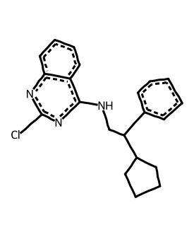 Clc1nc(NCC(c2ccccc2)C2CCCC2)c2ccccc2n1